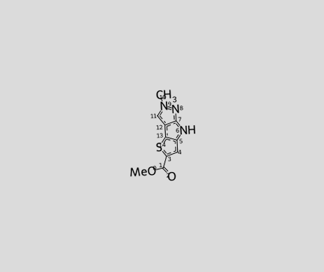 COC(=O)c1cc2[nH]c3nn(C)cc3c2s1